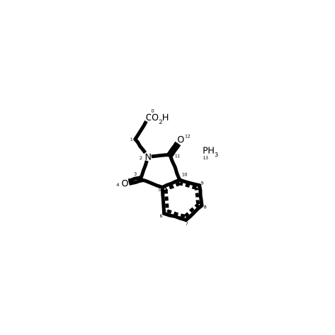 O=C(O)CN1C(=O)c2ccccc2C1=O.P